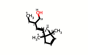 CCC(C=CC1(C)CC=CC1(C)C)CO